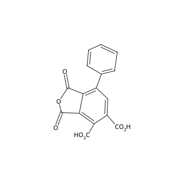 O=C(O)c1cc(-c2ccccc2)c2c(c1C(=O)O)C(=O)OC2=O